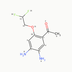 CC(=O)c1cc(N)c(N)cc1OCC(F)F